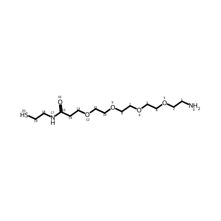 NCCOCCOCCOCCOCCC(=O)NCCS